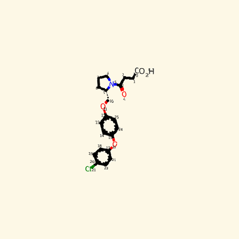 O=C(O)CCC(=O)N1CCC[C@H]1COc1ccc(Oc2ccc(Cl)cc2)cc1